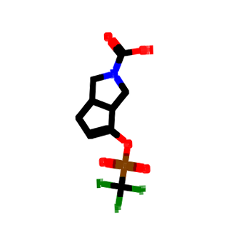 O=C(O)N1CC2CC=C(OS(=O)(=O)C(F)(F)F)C2C1